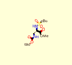 CCCCS(=O)(=O)N[C@@H](CNC(=O)OC(C)(C)C)C(=O)OC